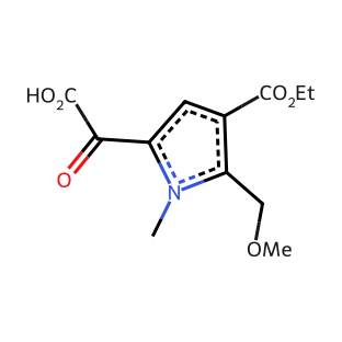 CCOC(=O)c1cc(C(=O)C(=O)O)n(C)c1COC